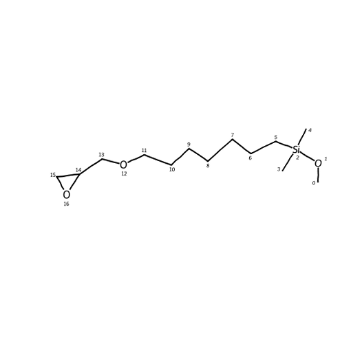 CO[Si](C)(C)CCCCCCCOCC1CO1